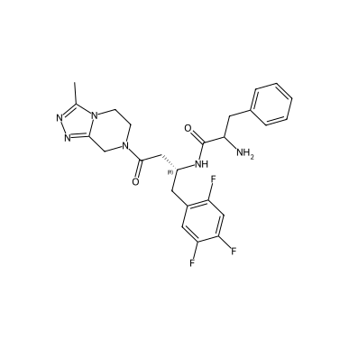 Cc1nnc2n1CCN(C(=O)C[C@@H](Cc1cc(F)c(F)cc1F)NC(=O)C(N)Cc1ccccc1)C2